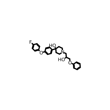 OC(COc1ccccc1)CN1CCC(O)(c2ccc(Oc3ccc(F)cc3)cc2)CC1